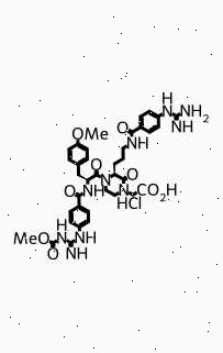 COC(=O)NC(=N)Nc1ccc(C(=O)N[C@@H](Cc2ccc(OC)cc2)C(=O)N2CCN(CC(=O)O)C(=O)[C@@H]2CCCNC(=O)c2ccc(NC(=N)N)cc2)cc1.Cl